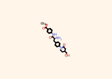 CC(C)(C)OC(=O)c1ccc(NC(=O)[C@@H](N)Cc2ccc(N3CCC(CO)CC3=O)cc2)cc1